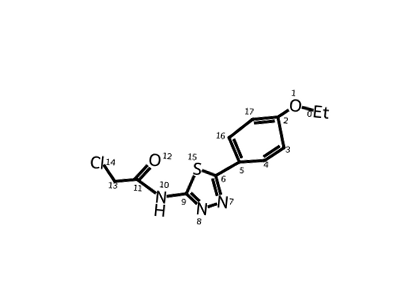 CCOc1ccc(-c2nnc(NC(=O)CCl)s2)cc1